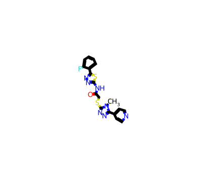 Cn1c(SCC(=O)Nc2nnc(-c3ccccc3F)s2)nnc1-c1ccncc1